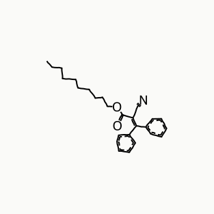 CCCCCCCCCCOC(=O)C(C#N)=C(c1ccccc1)c1ccccc1